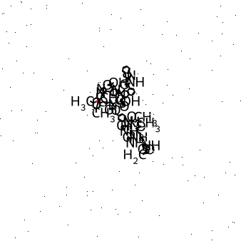 C=CS(=O)(=O)NCCCCCC(=O)N[C@H](C(=O)N(c1ccc(COC(=O)N(CCOC23CC4(C)CC(C)(CC(Cn5ncc(-c6ccc(N7CCc8cccc(C(=O)Nc9nc%10ccccc%10s9)c8C7)nc6C(=O)O)c5C)(C4)C2)C3)CCS(=O)(=O)O)cc1)[C@@H](CCCNC(N)=O)C(N)=O)C(C)C